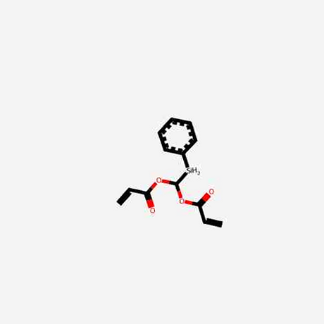 C=CC(=O)OC(OC(=O)C=C)[SiH2]c1ccccc1